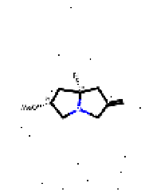 C=C1C[C@@H]2C[C@@H](OC)CN2C1